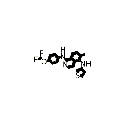 Cc1ccc2c(Nc3ccc(OC(F)F)cc3)nccc2c1Nc1ccsc1